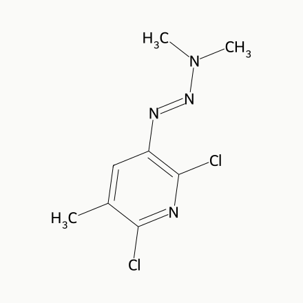 Cc1cc(N=NN(C)C)c(Cl)nc1Cl